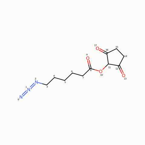 [N-]=[N+]=NCCCCCC(=O)OC1C(=O)CCC1=O